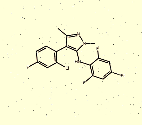 CCc1cc(F)c(Nc2c(-c3ccc(F)cc3Cl)c(C)nn2C)c(F)c1